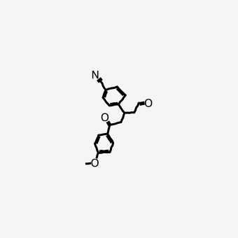 COc1ccc(C(=O)CC(CC=O)c2ccc(C#N)cc2)cc1